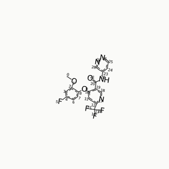 COc1cc(F)ccc1Oc1cc(C(F)(F)F)ncc1C(=O)Nc1ccnnc1